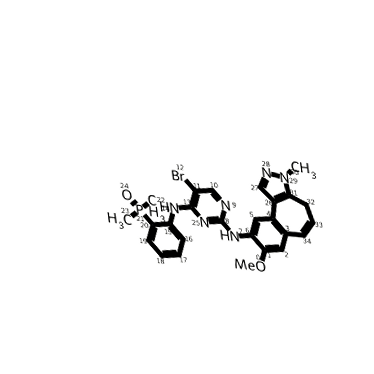 COc1cc2c(cc1Nc1ncc(Br)c(Nc3ccccc3P(C)(C)=O)n1)-c1cnn(C)c1CC=C2